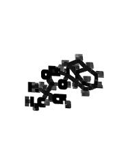 CCC1(OC(=O)C(C)(CC)C(F)(F)F)C2CC3CC(C2)CC1C3